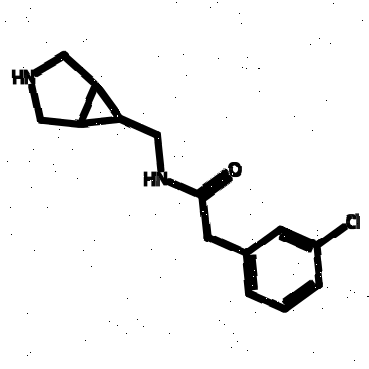 O=C(Cc1cccc(Cl)c1)NCC1C2CNCC21